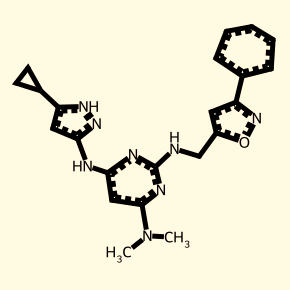 CN(C)c1cc(Nc2cc(C3CC3)[nH]n2)nc(NCc2cc(-c3ccccc3)no2)n1